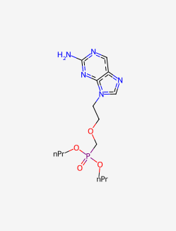 CCCOP(=O)(COCCn1cnc2cnc(N)nc21)OCCC